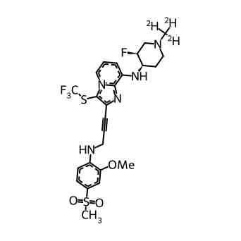 [2H]C([2H])([2H])N1CC[C@@H](Nc2cccn3c(SC(F)(F)F)c(C#CCNc4ccc(S(C)(=O)=O)cc4OC)nc23)[C@@H](F)C1